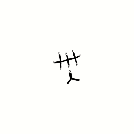 CC(C)=O.FC(F)(F)C(F)(F)C(F)(F)F